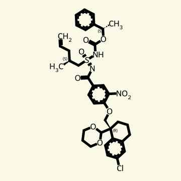 C=CC[C@H](C)CS(=O)(=NC(=O)c1ccc(OC[C@@]2(C3OCCCO3)CCCc3cc(Cl)ccc32)c([N+](=O)[O-])c1)NC(=O)O[C@@H](C)c1ccccc1